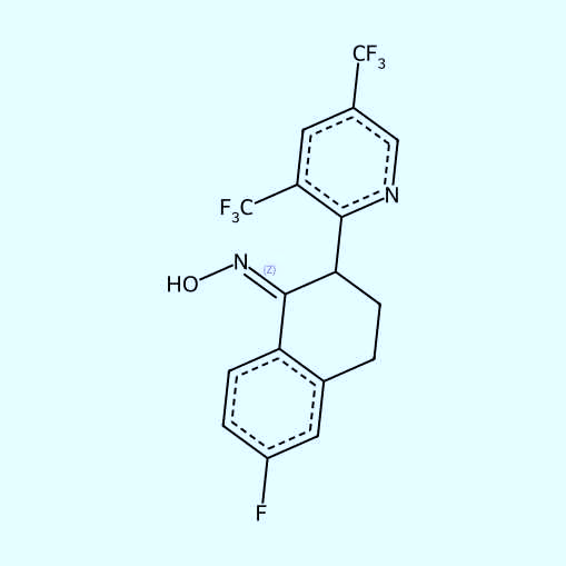 O/N=C1\c2ccc(F)cc2CCC1c1ncc(C(F)(F)F)cc1C(F)(F)F